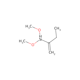 C=C(CC)[SiH](OC)OC